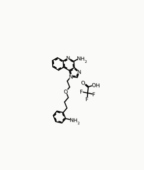 Nc1ccccc1CCCOCCn1cnc2c(N)nc3ccccc3c21.O=C(O)C(F)(F)F